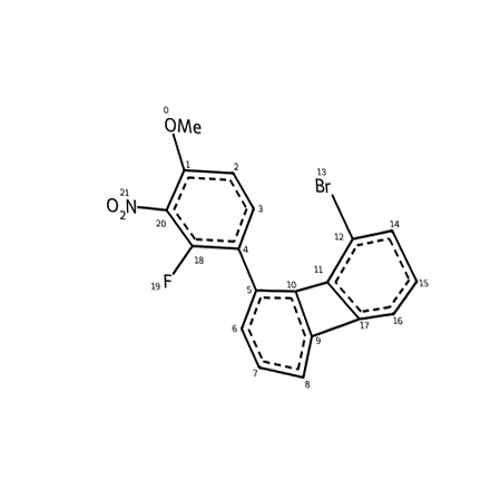 COc1ccc(-c2cccc3c2-c2c(Br)cccc2-3)c(F)c1[N+](=O)[O-]